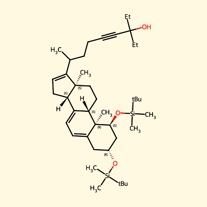 CCC(O)(C#CCCC(C)C1=CC[C@H]2C3=CC=C4C[C@@H](O[Si](C)(C)C(C)(C)C)C[C@H](O[Si](C)(C)C(C)(C)C)[C@]4(C)[C@H]3CC[C@]12C)CC